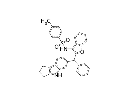 Cc1ccc(S(=O)(=O)Nc2c(C(c3ccccc3)c3ccc4c5c([nH]c4c3)CCC5)oc3ccccc23)cc1